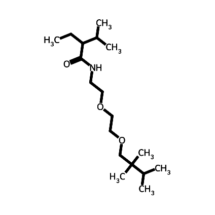 CCC(C(=O)NCCOCCOCC(C)(C)C(C)C)C(C)C